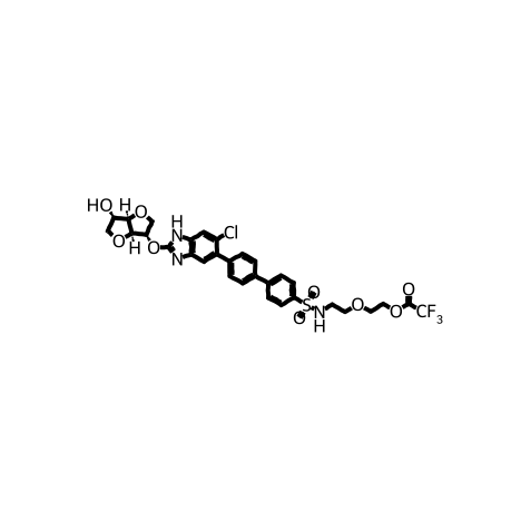 O=C(OCCOCCNS(=O)(=O)c1ccc(-c2ccc(-c3cc4nc(O[C@@H]5CO[C@H]6[C@@H]5OC[C@H]6O)[nH]c4cc3Cl)cc2)cc1)C(F)(F)F